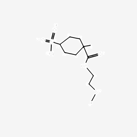 CC1(C(=O)OCCSI)CCC(S(=O)(=O)Cl)CC1